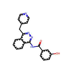 O=C(Nc1nnc(Cc2ccncc2)c2ccccc12)c1cccc(O)c1